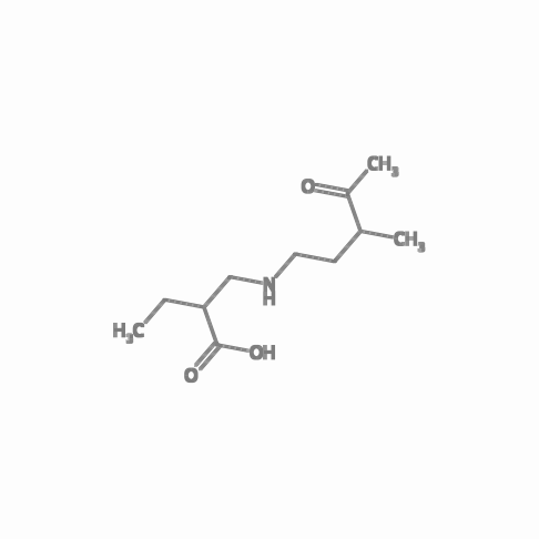 CCC(CNCCC(C)C(C)=O)C(=O)O